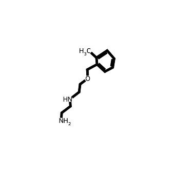 Cc1ccccc1COCCNCCN